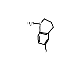 NN1CCCc2cc(F)ccc21